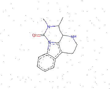 CC1C2NCCc3c2n(c2ccccc32)C(=O)N1C